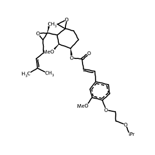 COc1cc(/C=C/C(=O)O[C@@H]2CCC3(CO3)C([C@@]3(C)OC3CC=C(C)C)[C@@H]2OC)ccc1OCCOC(C)C